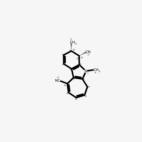 C[C@H]1C=Cc2c3c(n(C)c2[C@H]1C#N)CC=CC=C3C#N